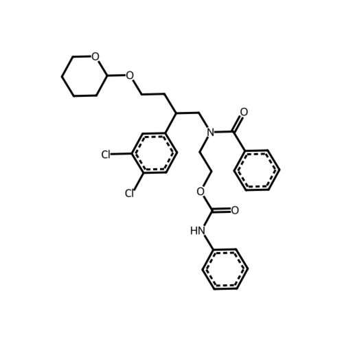 O=C(Nc1ccccc1)OCCN(CC(CCOC1CCCCO1)c1ccc(Cl)c(Cl)c1)C(=O)c1ccccc1